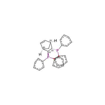 C1=C[C@H]2C[C@@H]1[C@H](P(c1ccccc1)c1ccccc1)[C@H]2P(c1ccccc1)c1ccccc1